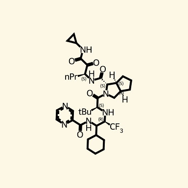 CCC[C@H](NC(=O)[C@@H]1[C@H]2CCC[C@H]2CN1C(=O)[C@@H](N[C@H](C(NC(=O)c1cnccn1)C1CCCCC1)C(F)(F)F)C(C)(C)C)C(=O)C(=O)NC1CC1